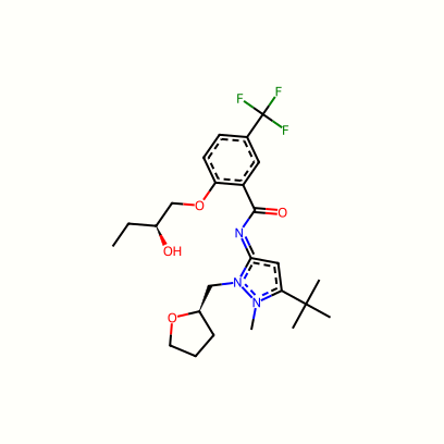 CC[C@H](O)COc1ccc(C(F)(F)F)cc1C(=O)N=c1cc(C(C)(C)C)n(C)n1C[C@H]1CCCO1